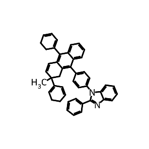 CC1(C2=CCCC=C2)C=Cc2c(c(-c3ccc(-n4c(-c5ccccc5)nc5ccccc54)cc3)c3ccccc3c2C2=CC=CCC2)C1